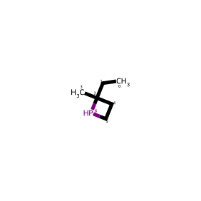 CCC1(C)CCP1